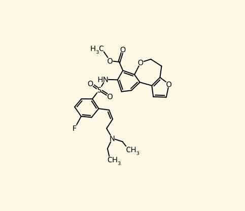 CCN(CC)C/C=C\c1cc(F)ccc1S(=O)(=O)Nc1ccc2c(c1C(=O)OC)OCCc1occc1-2